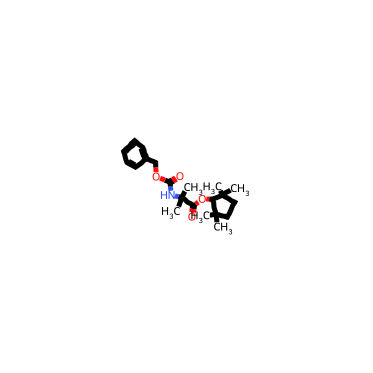 CC(C)(NC(=O)OCc1ccccc1)C(=O)OC1C(C)(C)CCC1(C)C